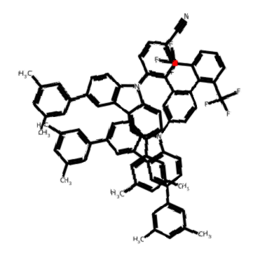 Cc1cc(C)cc(-c2ccc3c(c2)c2cc(-c4cc(C)cc(C)c4)ccc2n3-c2ccc(-c3c(C(F)(F)F)cccc3C(F)(F)F)c(-c3cc(C#N)ccc3-n3c4ccc(-c5cc(C)cc(C)c5)cc4c4cc(-c5cc(C)cc(C)c5)ccc43)c2)c1